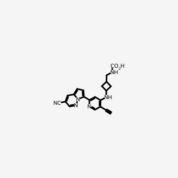 C#Cc1cnc(-c2ccc3cc(C#N)cnn23)cc1NC1CC(CNC(=O)O)C1